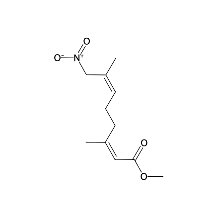 COC(=O)C=C(C)CCC=C(C)C[N+](=O)[O-]